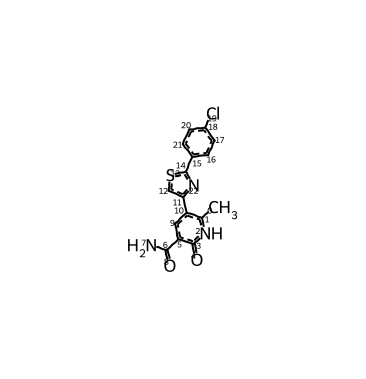 Cc1[nH]c(=O)c(C(N)=O)cc1-c1csc(-c2ccc(Cl)cc2)n1